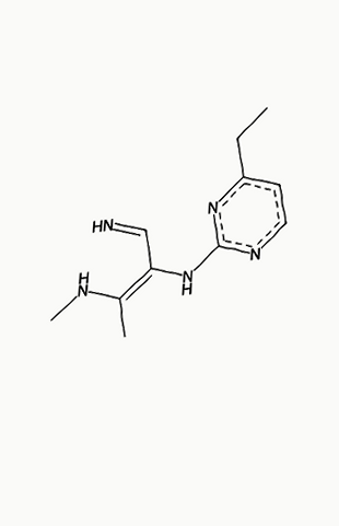 CCc1ccnc(N/C(C=N)=C(\C)NC)n1